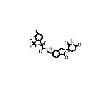 Cc1ccc(C(F)(F)C(=O)NCc2ccc3c(c2)CN([C@@H]2CCC(=O)NC2=O)C3=O)c(C(F)(F)F)c1